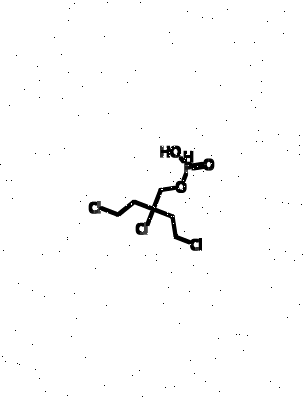 O=[PH](O)OCC(Cl)(CCCl)CCCl